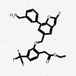 CCOC(=O)Cc1ccc(C(F)(F)F)cc1OCc1cc(-c2cccc(CN)c2)c2oc(F)cc2c1